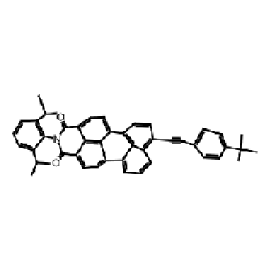 CC(C)c1cccc(C(C)C)c1N1C(=O)c2ccc3c4cccc5c(C#Cc6ccc(C(C)(C)C)cc6)ccc(c6ccc(c2c36)C1=O)c54